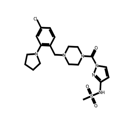 CS(=O)(=O)Nc1ccn(C(=O)N2CCN(Cc3ccc(Cl)cc3N3CCCC3)CC2)n1